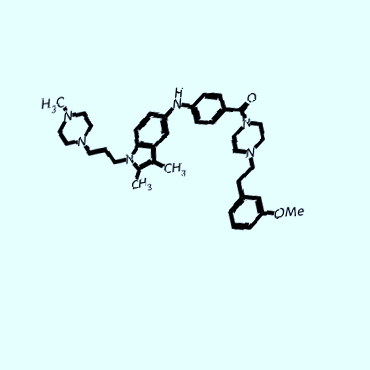 COc1cccc(CCN2CCN(C(=O)c3ccc(Nc4ccc5c(c4)c(C)c(C)n5CCCN4CCN(C)CC4)cc3)CC2)c1